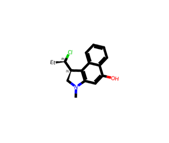 CC[C@@H](Cl)[C@@H]1CN(C)c2cc(O)c3ccccc3c21